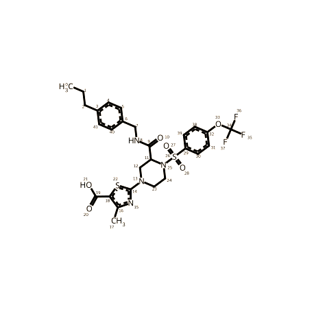 CCCc1ccc(CNC(=O)C2CN(c3nc(C)c(C(=O)O)s3)CCN2S(=O)(=O)c2ccc(OC(F)(F)F)cc2)cc1